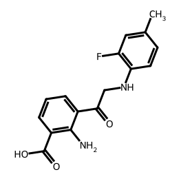 Cc1ccc(NCC(=O)c2cccc(C(=O)O)c2N)c(F)c1